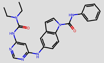 CCN(CC)C(=O)Nc1cc(Nc2ccc3c(ccn3C(=O)Nc3ccccc3)c2)ncn1